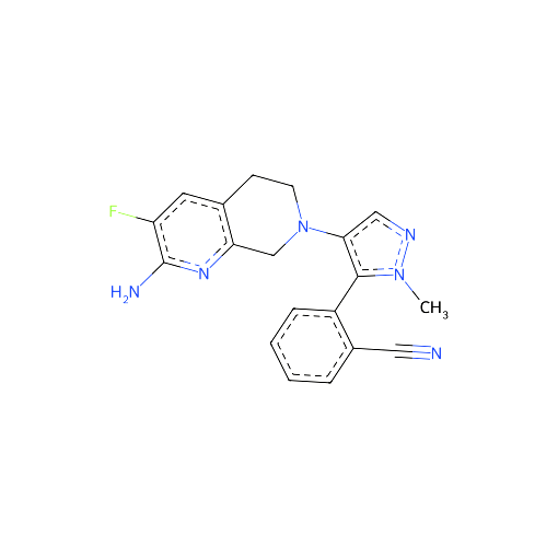 Cn1ncc(N2CCc3cc(F)c(N)nc3C2)c1-c1ccccc1C#N